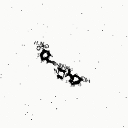 NS(=O)(=O)c1ccc(CNc2nccn3c(-c4cccc(O)c4)cnc23)cc1